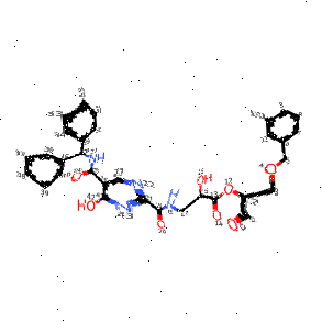 O=CC(COCc1ccccc1)OC(=O)[C@H](O)CNC(=O)c1ncc(C(=O)NC(c2ccccc2)c2ccccc2)c(O)n1